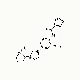 Cc1cc(N2CC[C@@H](N3CCC[C@@H]3C)C2)ccc1NC(=O)c1ccoc1